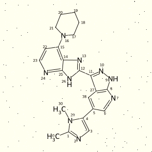 Cc1ncc(-c2cnc3[nH]nc(-c4nc5c(N6CCCCC6)ccnc5[nH]4)c3c2)n1C